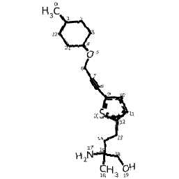 CC1CCC(OCC#Cc2ccc(CCC(C)(N)CO)s2)CC1